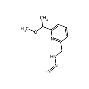 COC(C)c1cccc(CNN=N)n1